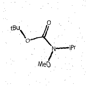 CON(C(=O)OC(C)(C)C)C(C)C